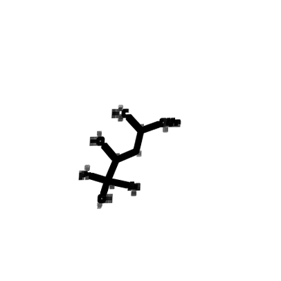 COC(C)CC(O)C(O)(C(C)=O)C(C)C